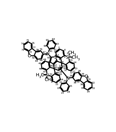 C[Si]1(C)c2ccccc2C2(c3ccccc31)c1cc(N(c3ccccc3)c3ccc4oc5ccccc5c4c3)sc1C1(c3ccccc3[Si](C)(C)c3ccccc31)c1cc(N(c3ccccc3)c3ccc4oc5ccccc5c4c3)sc12